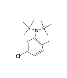 Cc1ccc(Cl)cc1N(S(C)(C)C)S(C)(C)C